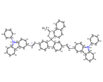 C=CCC1(c2ccc3ccccc3c2)c2cc(/C=C/c3ccc4c(c3)c3ccccc3n4-c3ccccc3)ccc2-c2ccc(/C=C/c3ccc4c(c3)c3ccccc3n4-c3ccccc3)cc21